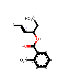 C/C=C/C(CC(=O)O)OC(=O)c1ccccc1[N+](=O)[O-]